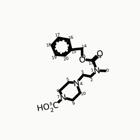 CN(CCN1CCN(C(=O)O)CC1)C(=O)OCc1ccccc1